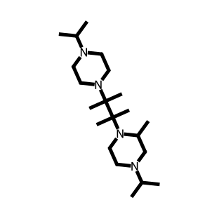 CC(C)N1CCN(C(C)(C)C(C)(C)N2CCN(C(C)C)CC2C)CC1